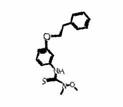 CON(C)C(=S)Nc1cccc(OCCc2ccccc2)c1